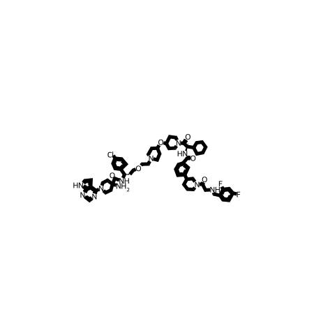 NC1(C(=O)N[C@@H](CCOCCN2CCC(OC3CCN(C(=O)[C@H](NC(=O)c4cccc(C5CCCN(C(=O)CNCc6ccc(F)cc6F)C5)c4)C4CCCCC4)CC3)CC2)c2ccc(Cl)cc2)CCN(c2ncnc3[nH]ccc23)CC1